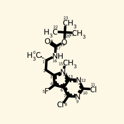 C[C@@H](Cc1c(F)c2c(Cl)nc(Cl)nc2n1C)NC(=O)OC(C)(C)C